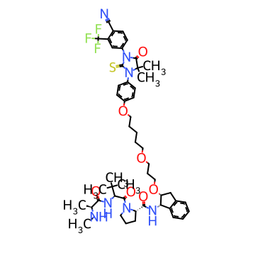 CN[C@@H](C)C(=O)N[C@H](C(=O)N1CCC[C@H]1C(=O)N[C@H]1c2ccccc2C[C@H]1OCCCOCCCCCOc1ccc(N2C(=S)N(c3ccc(C#N)c(C(F)(F)F)c3)C(=O)C2(C)C)cc1)C(C)(C)C